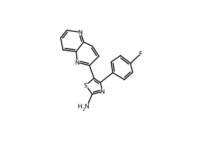 Nc1nc(-c2ccc(F)cc2)c(-c2ccc3ncccc3n2)s1